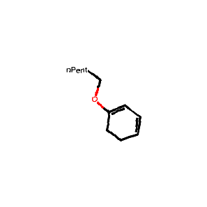 CCCCCCOC1=CC=CCC1